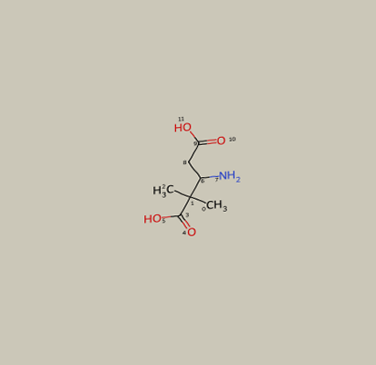 CC(C)(C(=O)O)C(N)CC(=O)O